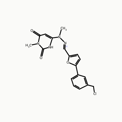 CN(/N=C/c1ccc(-c2cccc(CCl)c2)o1)c1cc(=O)n(C)c(=O)[nH]1